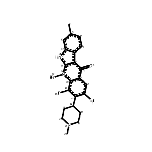 CCc1cc2c(=O)c3c4ccc(C)cc4[nH]c3n(C(C)C)c2c(F)c1C1CCN(C)CC1